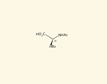 CCCC[C@H](NC(C)=O)C(=O)O